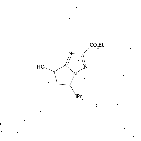 CCOC(=O)c1nc2n(n1)C(C(C)C)CC2O